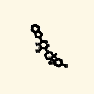 CC(C)[C@@H](NC(=O)C1Cc2ccccc2C1)C(=O)N1CC[C@](O)(c2ccc(Cl)cc2)C(C)(C)C1